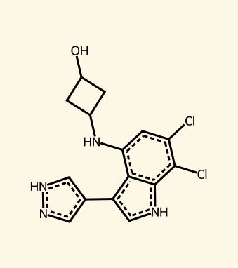 OC1CC(Nc2cc(Cl)c(Cl)c3[nH]cc(-c4cn[nH]c4)c23)C1